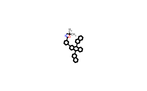 CC1(C)CN=C(c2cccc(-c3ccc4c(-c5ccc6ccccc6c5)c5ccccc5c(-c5ccc6ccccc6c5)c4c3)c2)O1